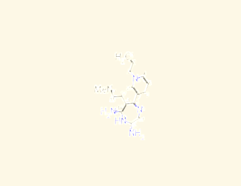 C=CCN1C=CCC(C2=NCC(N)NC(N)=C2CCNC)=C1